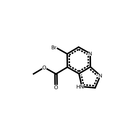 COC(=O)c1c(Br)cnc2nc[nH]c12